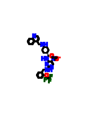 O=[N+]([O-])c1cnc(NCc2ccccc2OC(F)(F)F)nc1NC[C@H]1CC[C@H](NCc2ccnc3ccccc23)CC1